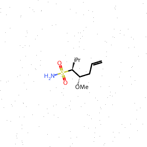 C=CC[C@H](OC)[C@H](C(C)C)S(N)(=O)=O